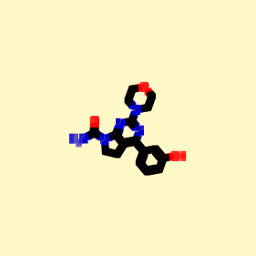 NC(=O)N1CCc2c(-c3cccc(O)c3)nc(N3CCOCC3)nc21